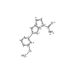 COc1cccc(-c2cn3ncc(C(N)=O)c3s2)n1